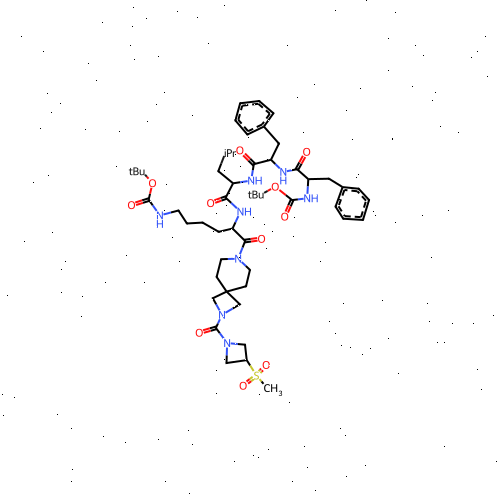 CC(C)CC(NC(=O)C(Cc1ccccc1)NC(=O)C(Cc1ccccc1)NC(=O)OC(C)(C)C)C(=O)NC(CCCCNC(=O)OC(C)(C)C)C(=O)N1CCC2(CC1)CN(C(=O)N1CC(S(C)(=O)=O)C1)C2